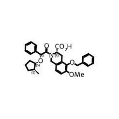 COc1ccc2c(c1OCc1ccccc1)C[C@H](C(=O)O)N(C(=O)[C@H](O[C@H]1CCC[C@@H]1C)c1ccccc1)C2